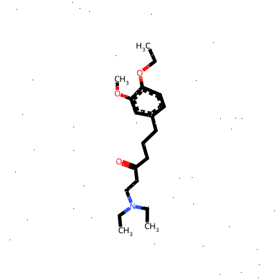 CCOc1ccc(CCCC(=O)CCN(CC)CC)cc1OC